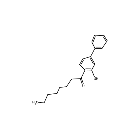 CCCCCCCC(=O)c1ccc(-c2ccccc2)cc1S